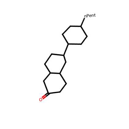 CCCCCC1CCC(C2CCC3CC(=O)CCC3C2)CC1